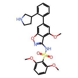 COc1cccc(OC)c1S(=O)(=O)Nc1noc2cc(-c3ccccc3C3CCNC3)cc(OC)c12